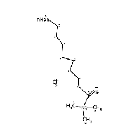 CCCCCCCCCCCCCCCCCC(=O)[N+](C)(C)C.[Cl-]